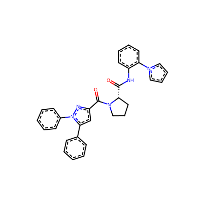 O=C(Nc1ccccc1-n1cccc1)[C@@H]1CCCN1C(=O)c1cc(-c2ccccc2)n(-c2ccccc2)n1